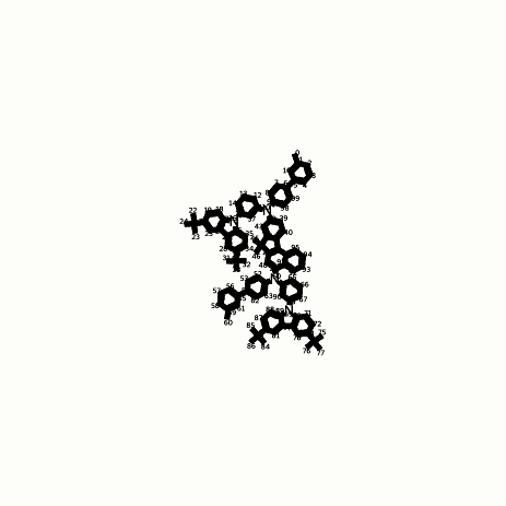 Cc1cccc(-c2ccc(N(c3cccc(-n4c5ccc(C(C)(C)C)cc5c5cc(C(C)(C)C)ccc54)c3)c3ccc4c(c3)C(C)(C)c3cc(N(c5ccc(-c6cccc(C)c6)cc5)c5cccc(-n6c7ccc(C(C)(C)C)cc7c7cc(C(C)(C)C)ccc76)c5)c5ccccc5c3-4)cc2)c1